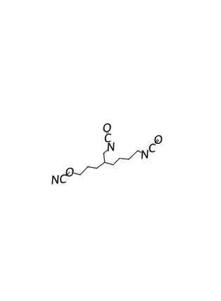 N#COCCCC(CCCCN=C=O)CN=C=O